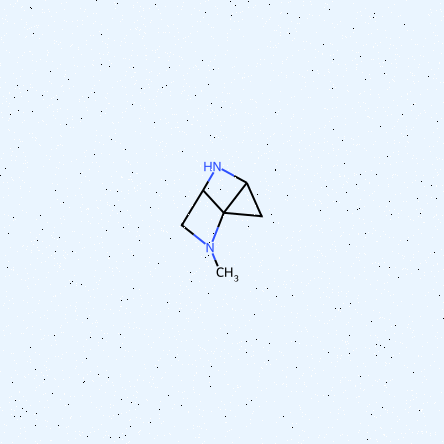 CN1CC2NC3CC231